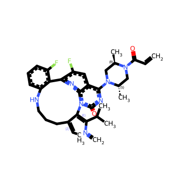 C=CC(=O)N1C[C@H](C)N(c2nc(=O)n3c4nc(c(F)cc24)-c2c(F)cccc2NCCCC(=C/C)/C3=C(\N=C)C(C)C)C[C@H]1C